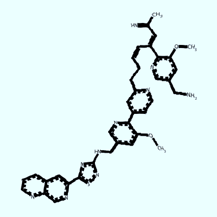 COc1cc(CN)cnc1C(/C=C\CCc1cc(-c2ncc(CNc3nsc(-c4cc5cccnc5cn4)n3)cc2OC)ccn1)=C/C(C)=N